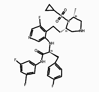 C[C@@H]1CNC[C@H](CCc2c(F)cncc2N[C@@H](Cc2ccc(F)cc2)C(=O)Nc2cc(F)cc(F)c2)N1S(=O)(=O)C1CC1